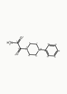 NC(=O)C(=O)N1CCN(c2ccccc2)CC1